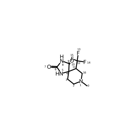 CN1CCC2(NC(=O)NC2=O)C(C(F)(F)F)C1